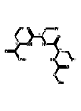 COC(=O)[C@H](CC(C)C)NC(=O)[C@H](CC(C)C)NC(=O)[C@H](CC(C)C)NC(=O)OC(C)(C)C